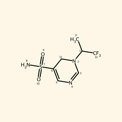 CC(N1C=NC=C(S(N)(=O)=O)C1)C(F)(F)F